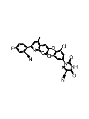 Cc1cc(-c2ccc(F)cc2C#N)nc2ccc(Oc3c(Cl)cc(-n4nc(C#N)c(=O)[nH]c4=O)cc3Cl)cc12